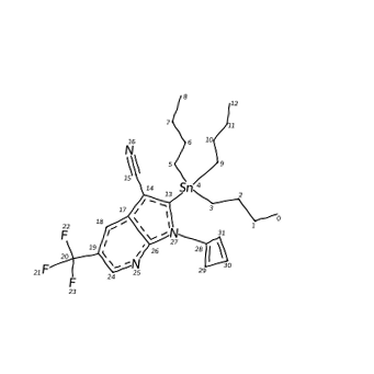 CCC[CH2][Sn]([CH2]CCC)([CH2]CCC)[c]1c(C#N)c2cc(C(F)(F)F)cnc2n1C1=CC=C1